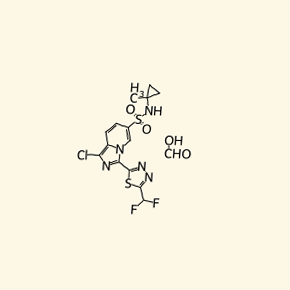 CC1(NS(=O)(=O)c2ccc3c(Cl)nc(-c4nnc(C(F)F)s4)n3c2)CC1.O=CO